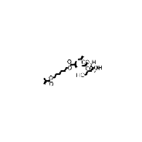 C=C(C)C(=O)O.C=C(C)C(=O)O.C=C(C)C(=O)OCCCCCCOC(=O)C(=C)C.OCCCCO